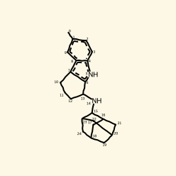 Cc1ccc2[nH]c3c(c2c1)CCCC3NC1C2CC3CC(C2)CC1C3